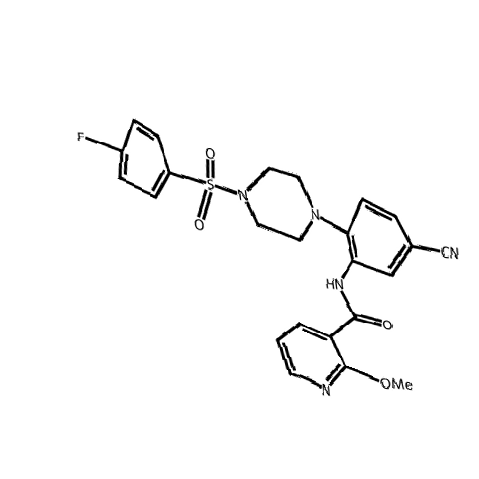 COc1ncccc1C(=O)Nc1cc(C#N)ccc1N1CCN(S(=O)(=O)c2ccc(F)cc2)CC1